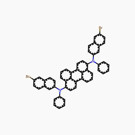 Brc1ccc2cc(N(c3ccccc3)c3ccc4c5cccc6c(N(c7ccccc7)c7ccc8cc(Br)ccc8c7)ccc(c7cccc3c74)c65)ccc2c1